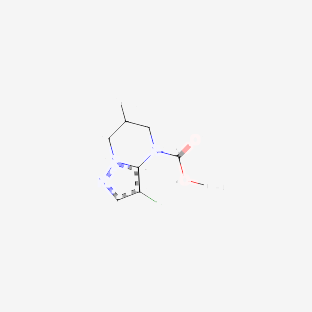 CCOC(=O)C1CN(C(=O)OC(C)(C)C)c2c(Br)cnn2C1